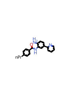 CCCc1ccc(C(=O)Nc2cc(-c3ccccn3)ccc2N)cc1